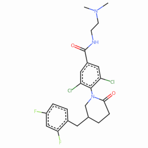 CN(C)CCNC(=O)c1cc(Cl)c(N2CC(Cc3ccc(F)cc3F)CCC2=O)c(Cl)c1